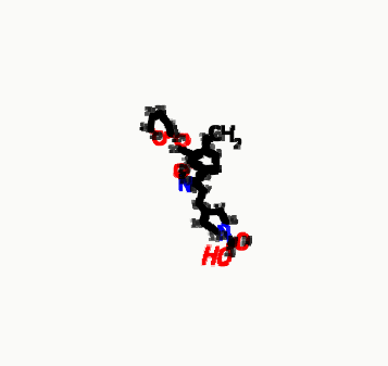 C=Cc1ccc2c(CCC3CCN(C(=O)O)CC3)noc2c1COC1CCCCO1